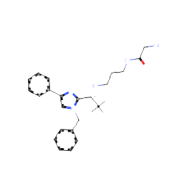 CC(C)(C)[C@@H](NCCCNC(=O)CN)c1nc(-c2ccccc2)cn1Cc1ccccc1